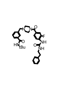 CC(C)(C)NC(=O)c1cccc(CN2CCN(C(=O)c3ccc(NC(=O)NCCc4ccccc4)c(F)c3)CC2)c1